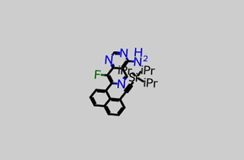 CC(C)[Si](C#Cc1cccc2cccc(-c3ncc4c(N)ncnc4c3F)c12)(C(C)C)C(C)C